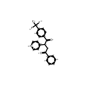 O=C(CC(C(=O)c1ccc(C(F)(F)F)cc1)c1ccncc1)c1ccccc1